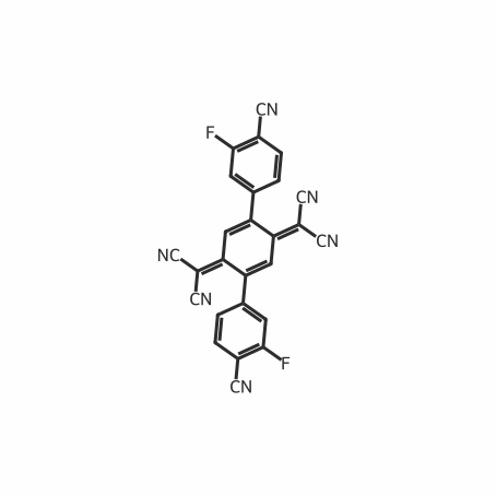 N#CC(C#N)=c1cc(-c2ccc(C#N)c(F)c2)c(=C(C#N)C#N)cc1-c1ccc(C#N)c(F)c1